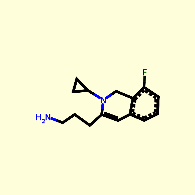 NCCCC1=Cc2cccc(F)c2CN1C1CC1